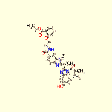 CCOC(=O)c1ccccc1OCCNC(=O)c1ccc2nc(C(C)c3nc4cc(O)ccc4n3C(=O)C(C)C)n(C)c2c1